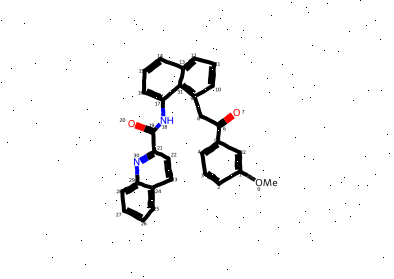 COc1cccc(C(=O)Cc2cccc3cccc(NC(=O)c4ccc5ccccc5n4)c23)c1